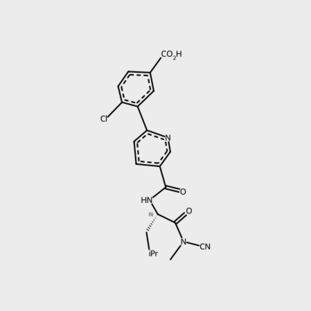 CC(C)C[C@H](NC(=O)c1ccc(-c2cc(C(=O)O)ccc2Cl)nc1)C(=O)N(C)C#N